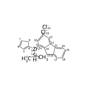 C[SiH](C)[Zr+2]([C]1=CC=CC1)[c]1cccc2c1Cc1ccccc1-2.[Cl-].[Cl-]